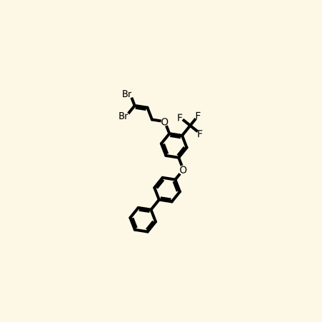 FC(F)(F)c1cc(Oc2ccc(-c3ccccc3)cc2)ccc1OCC=C(Br)Br